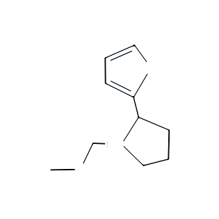 COC[SiH]1CCCC1c1cccs1